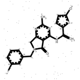 C=C(Nc1nc(C)nc2c1C(=O)N(Cc1cccc(I)c1)C2)c1ccc(Cl)s1